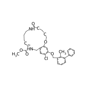 COC(=O)[C@@H]1CCCCNC(=O)CCCCOc2cc(OCc3cccc(-c4ccccc4)c3C)c(Cl)cc2CN1